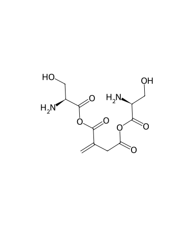 C=C(CC(=O)OC(=O)[C@@H](N)CO)C(=O)OC(=O)[C@@H](N)CO